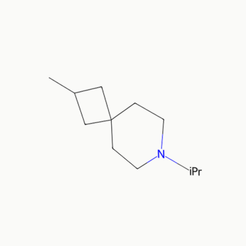 CC1CC2(CCN(C(C)C)CC2)C1